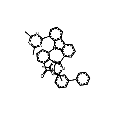 Cc1nc(C)nc(-c2cccc3c4cccc(-c5nc(C)nc(C)n5)c4n(-c4cccc5c4C(=O)N(c4cccc(-c6ccccc6)c4)C5=O)c23)n1